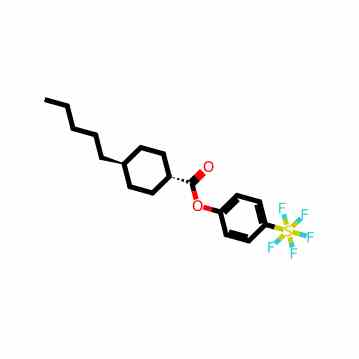 CCCCC[C@H]1CC[C@H](C(=O)Oc2ccc(S(F)(F)(F)(F)F)cc2)CC1